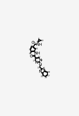 Cc1ccc(C(=O)NC2CC2)cc1NC(=O)c1cnc(OCc2nc3ccccc3s2)nc1